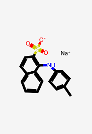 Cc1ccc(Nc2c(S(=O)(=O)[O-])ccc3ccccc23)cc1.[Na+]